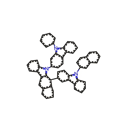 c1ccc(-n2c3ccccc3c3ccc(-n4c5ccccc5c5cc6ccccc6c(-c6ccc7c(c6)c6ccccc6n7-c6ccc7ccccc7c6)c54)cc32)cc1